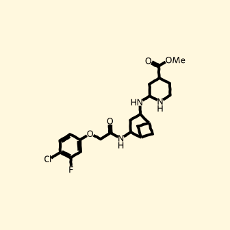 COC(=O)C1CCNC(NC2CC(NC(=O)COc3ccc(Cl)c(F)c3)C3CC2C3)C1